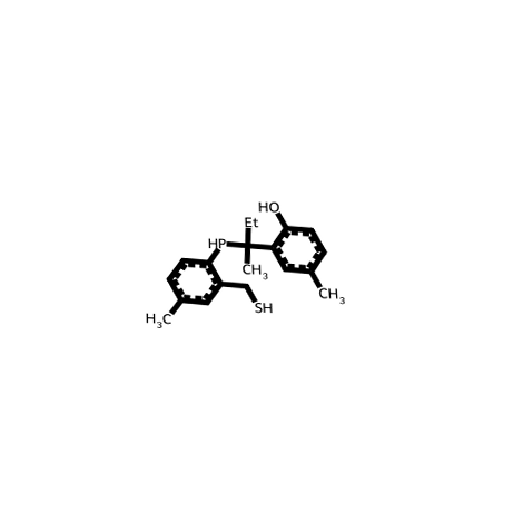 CCC(C)(Pc1ccc(C)cc1CS)c1cc(C)ccc1O